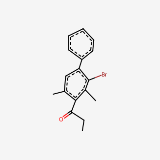 CCC(=O)c1c(C)cc(-c2ccccc2)c(Br)c1C